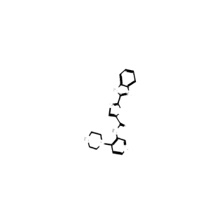 O=C(Nc1cnccc1N1CCNCC1)c1cnc(-c2nc3ccccc3[nH]2)o1